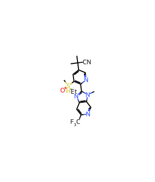 CC[SH](C)(=O)c1cc(C(C)(C)C#N)cnc1-c1nc2cc(C(F)(F)F)ncc2n1C